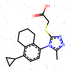 Cc1nnc(SCC(=O)O)n1-c1ccc(C2CC2)c2c1CCCC2